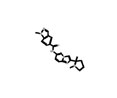 CN1CCCC1(C)c1cn2cc(NC(=O)c3ccc4c(cnn4C)c3)ccc2n1